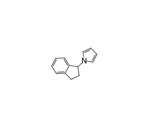 c1ccc2c(c1)CCC2n1cccc1